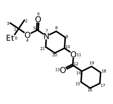 CCC(C)(C)OC(=O)N1CCC(OC(=O)C2CCCCC2)CC1